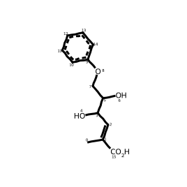 CC(=CC(O)C(O)COc1ccccc1)C(=O)O